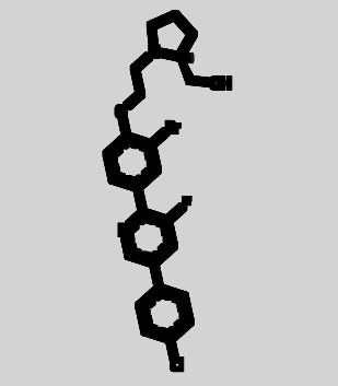 OC[C@@H]1CCCN1CCOc1ccc(-c2ncc(-c3ccc(Cl)cc3)cc2F)cc1Br